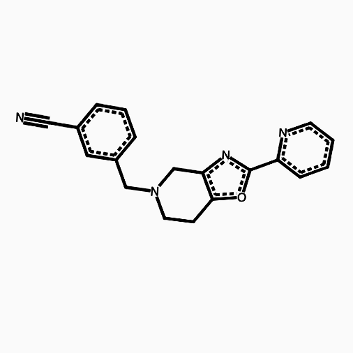 N#Cc1cccc(CN2CCc3oc(-c4ccccn4)nc3C2)c1